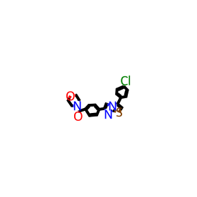 O=C(c1ccc(-c2cn3c(-c4ccc(Cl)cc4)csc3n2)cc1)N1CCOCC1